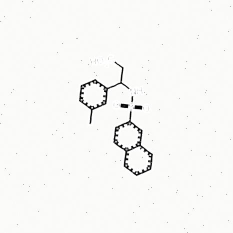 Cc1cccc(C(CC(=O)O)NS(=O)(=O)c2ccc3ccccc3c2)c1